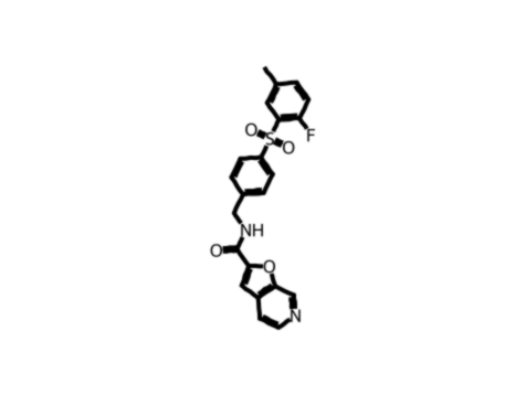 Cc1ccc(F)c(S(=O)(=O)c2ccc(CNC(=O)c3cc4ccncc4o3)cc2)c1